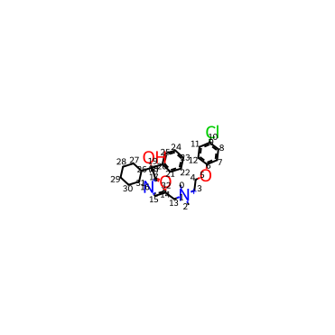 C[N+](C)(CCOc1ccc(Cl)cc1)Cc1cnc([C@](O)(c2ccccc2)C2CCCCC2)o1